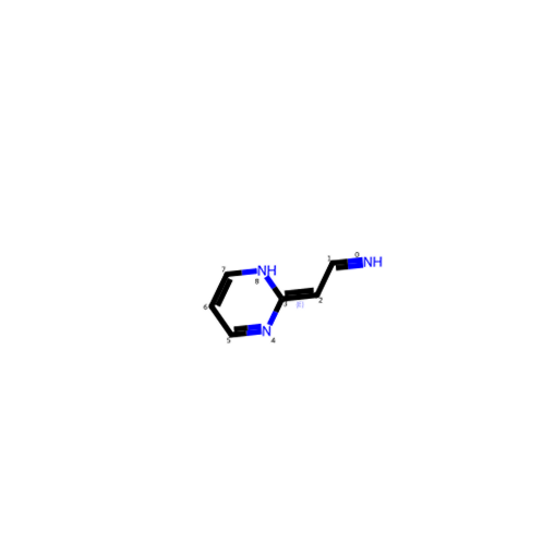 N=C/C=C1/N=CC=CN1